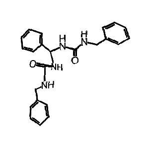 O=C(NCc1ccccc1)NC(NC(=O)NCc1ccccc1)c1ccccc1